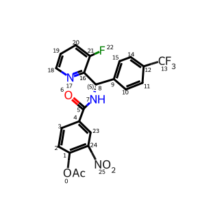 CC(=O)Oc1ccc(C(=O)N[C@@H](c2ccc(C(F)(F)F)cc2)c2ncccc2F)cc1[N+](=O)[O-]